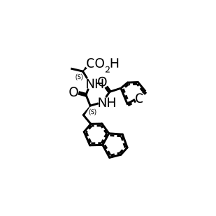 C[C@H](NC(=O)[C@H](Cc1ccc2ccccc2c1)NC(=O)c1ccccc1)C(=O)O